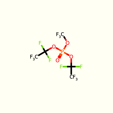 O=P(OC(F)(F)F)(OC(F)(F)C(F)(F)F)OC(F)(F)C(F)(F)F